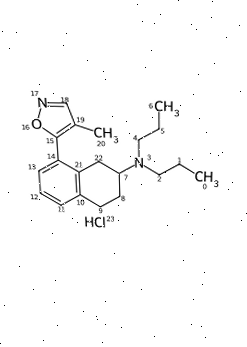 CCCN(CCC)C1CCc2cccc(-c3oncc3C)c2C1.Cl